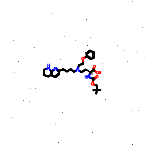 CC(C)(C)COC(=O)N[C@@H](CCN(CCCCc1ccc2c(n1)NCCC2)CCOc1ccccc1)C(=O)O